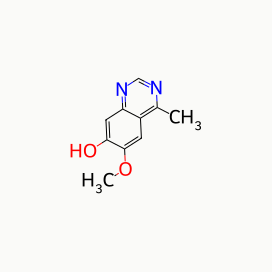 COc1cc2c(C)ncnc2cc1O